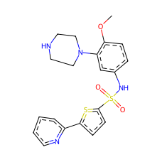 COc1ccc(NS(=O)(=O)c2ccc(-c3ccccn3)s2)cc1N1CCNCC1